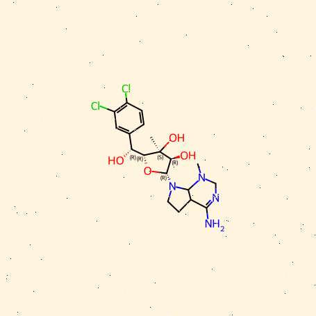 CN1CN=C(N)C2CCN([C@@H]3O[C@H]([C@H](O)c4ccc(Cl)c(Cl)c4)[C@@](C)(O)[C@H]3O)C21